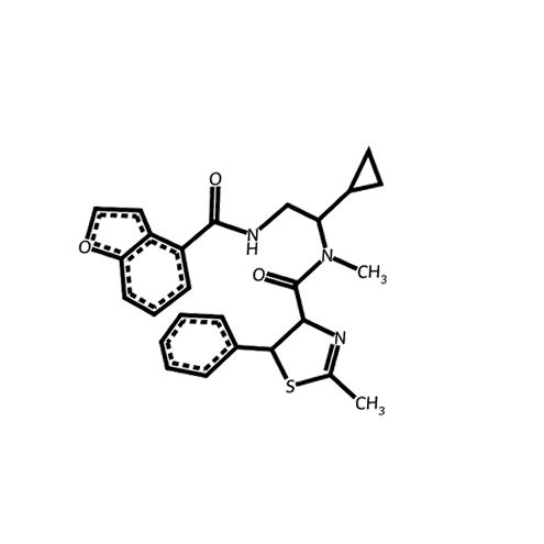 CC1=NC(C(=O)N(C)C(CNC(=O)c2cccc3occc23)C2CC2)C(c2ccccc2)S1